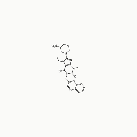 CCn1c(N2CCCC(N)C2)nc2c1c(=O)n(Cc1cnc3ccccc3n1)c(=O)n2C